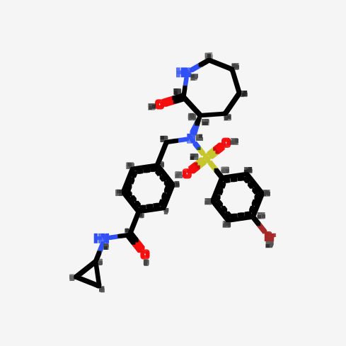 O=C(NC1CC1)c1ccc(CN([C@@H]2CCCCNC2=O)S(=O)(=O)c2ccc(Br)cc2)cc1